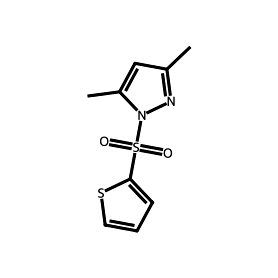 Cc1cc(C)n(S(=O)(=O)c2cccs2)n1